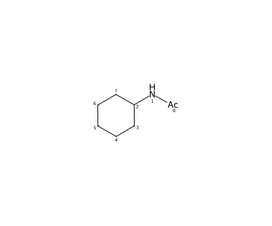 CC(=O)NC1CCCCC1